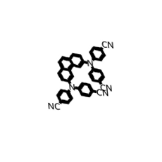 N#Cc1ccc(N(c2ccc(C#N)cc2)c2ccc3ccc4ccc(N(c5ccc(C#N)cc5)c5ccc(C#N)cc5)cc4c3c2)cc1